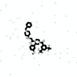 COc1cccc(C2CN(C(=O)c3cc(C(F)(F)F)cc(C(F)(F)F)c3)CCN2C(=O)CNC2CCN(Cc3ccccc3)CC2)c1